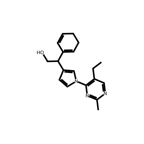 CCc1cnc(C)nc1-n1ccc(C(CO)C2=CCCC=C2)c1